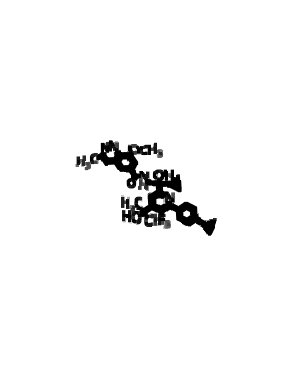 COc1cc(C(=O)NCC(O)(c2cc(C(C)(C)O)c(F)c(-c3ccc(C4CC4)cc3)n2)C2CC2)cc2cc(C)nnc12